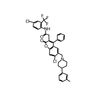 Cc1cccc(C2CCN(Cc3cc4c(-c5ccccc5)c(CC(=O)Nc5ccc(Cl)cc5C(F)(F)F)c(=O)oc4cc3Cl)CC2)c1